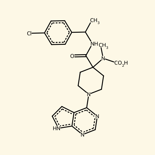 CC(NC(=O)C1(N(C)C(=O)O)CCN(c2ncnc3[nH]ccc23)CC1)c1ccc(Cl)cc1